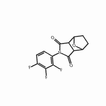 O=C1C2C3CCC(O3)C2C(=O)N1c1ccc(F)c(F)c1F